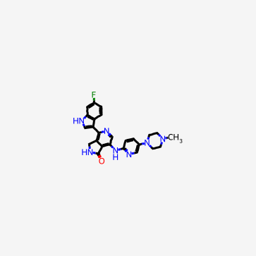 CN1CCN(c2ccc(Nc3cnc(-c4c[nH]c5cc(F)ccc45)c4c3C(=O)NC4)nc2)CC1